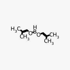 CC(C)=COBOC=C(C)C